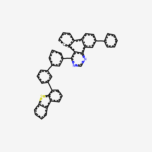 c1ccc(-c2ccc3c4ccccc4c4c(-c5cccc(-c6cccc(-c7cccc8c7sc7ccccc78)c6)c5)ncnc4c3c2)cc1